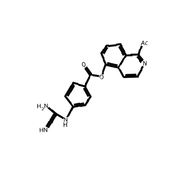 CC(=O)c1nccc2c(OC(=O)c3ccc(NC(=N)N)cc3)cccc12